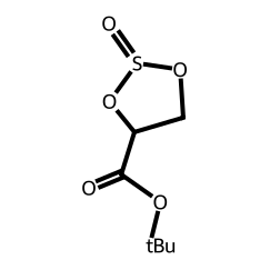 CC(C)(C)OC(=O)C1COS(=O)O1